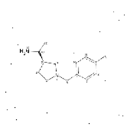 Cc1ccc(CN2CC[C@@H](C(C)N)C2)cc1